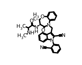 CNC(C)C(=O)N[C@@H]1C(=O)N(Cc2c(C#N)n(-c3ccccc3C#N)c3ccccc23)c2ccccc2O[C@H]1C